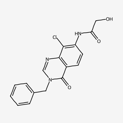 O=C(CO)Nc1ccc2c(=O)n(Cc3ccccc3)cnc2c1Cl